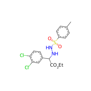 CCOC(=O)C(NNS(=O)(=O)c1ccc(C)cc1)c1ccc(Cl)c(Cl)c1